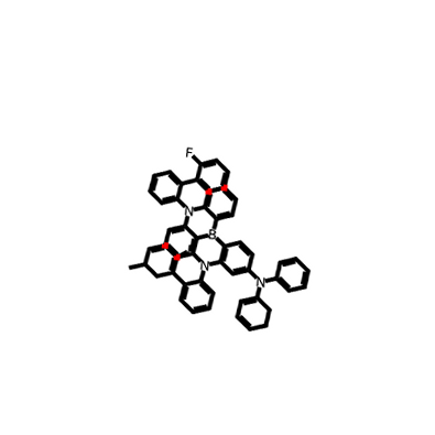 CC1C=CC(F)=C(c2ccccc2N2c3cc(N(C4=CC=CCC4)c4ccccc4)ccc3B3c4ccccc4N(c4ccccc4-c4ccccc4F)c4cccc2c43)C1